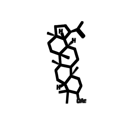 C=C(C)[C@@H]1CC[C@]2(C)CC[C@]3(C)[C@H](CCC4[C@@]5(C)CCC(OC(C)=O)C(C)(C)[C@@H]5CC[C@]43C)[C@@H]12